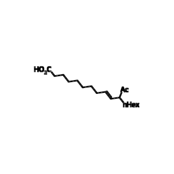 CCCCCCC(/C=C/CCCCCCCC(=O)O)C(C)=O